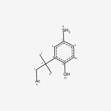 CC(=O)CC(C)(C)c1cc([SiH3])ccc1O